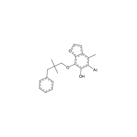 CC(=O)c1c(O)c(OCC(C)(C)Cc2ccccc2)c2occc2c1C